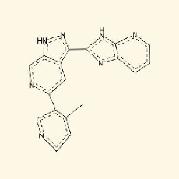 Cc1ccncc1-c1cc2c(-c3nc4cccnc4[nH]3)n[nH]c2cn1